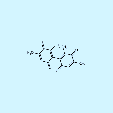 CC1=CC(=O)C(C2=C(C)C(=O)C(C)=CC2=O)=C(C)C1=O